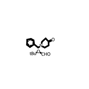 CC(C)(C)OC=O.O=C1CCN(Cc2ccccc2)CC1